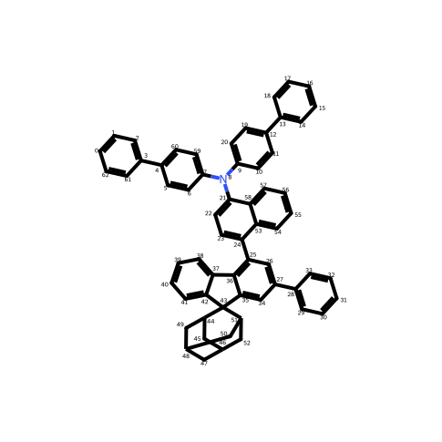 c1ccc(-c2ccc(N(c3ccc(-c4ccccc4)cc3)c3ccc(-c4cc(-c5ccccc5)cc5c4-c4ccccc4C54C5CC6CC(C5)CC4C6)c4ccccc34)cc2)cc1